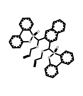 C=CCOC(c1cc2ccccc2cc1C(OCC=C)P1(=O)Oc2ccccc2-c2ccccc21)P1(=O)Oc2ccccc2-c2ccccc21